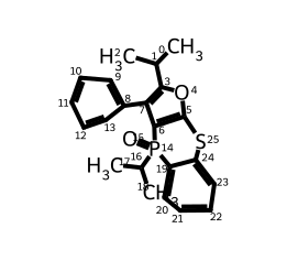 CC(C)c1oc2c(c1-c1ccccc1)P(=O)(C(C)C)c1ccccc1S2